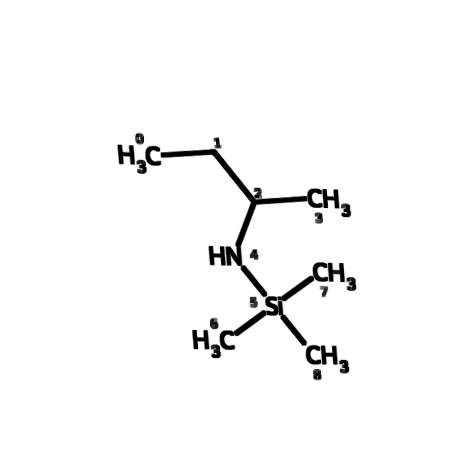 CCC(C)N[Si](C)(C)C